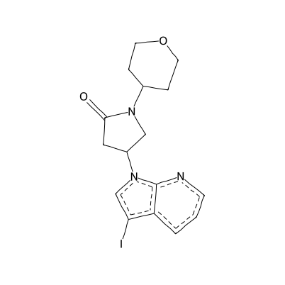 O=C1CC(n2cc(I)c3cccnc32)CN1C1CCOCC1